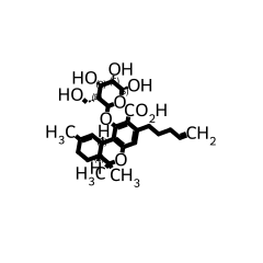 C=CCCCc1cc2c(c(OC3O[C@H](O)[C@@H](O)[C@H](O)[C@H]3CO)c1C(=O)O)[C@@H]1C=C(C)CC[C@H]1C(C)(C)O2